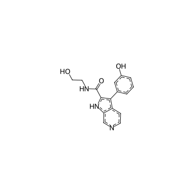 O=C(NCCO)c1[nH]c2cnccc2c1-c1cccc(O)c1